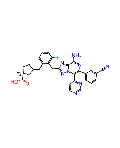 C[C@@]1(C(=O)O)CCC(Cc2cccc(F)c2Cc2nc3c(N)nc(-c4cccc(C#N)c4)c(-c4ccncn4)n3n2)C1